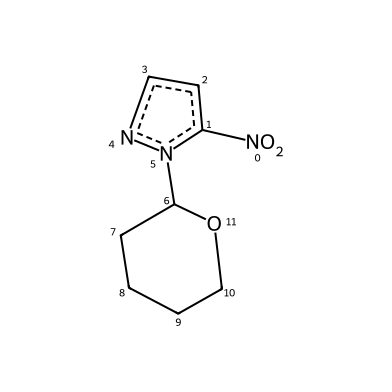 O=[N+]([O-])c1ccnn1C1CCCCO1